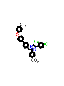 O=C(O)c1ccc(C2(Cc3ccc(-c4ccc(Oc5ccc(C(F)(F)F)cc5)cc4)cc3)N=CC(c3ccc(Cl)cc3Cl)=N2)cc1